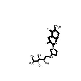 C[C@H](O)[C@@H](O)[C@@H](O)[C@H](O)CNC1CCN(c2nc3[nH]cc(C(=O)O)c(=O)c3cc2F)C1